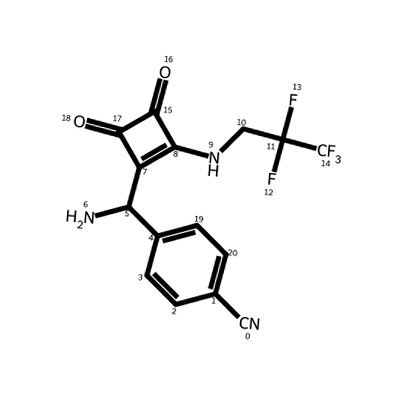 N#Cc1ccc(C(N)c2c(NCC(F)(F)C(F)(F)F)c(=O)c2=O)cc1